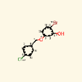 Oc1cc(OCc2ccc(Cl)cc2)ccc1Br